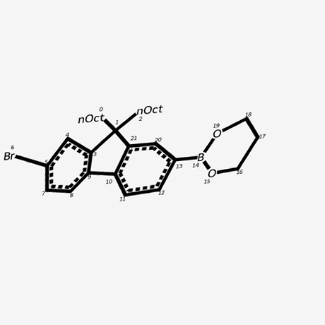 CCCCCCCCC1(CCCCCCCC)c2cc(Br)ccc2-c2ccc(B3OCCCO3)cc21